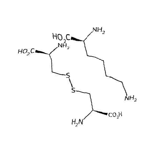 NCCCC[C@H](N)C(=O)O.N[C@@H](CSSC[C@H](N)C(=O)O)C(=O)O